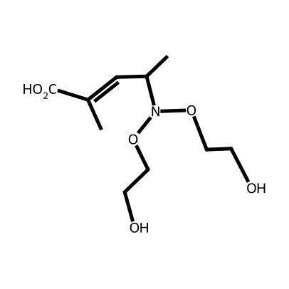 CC(=CC(C)N(OCCO)OCCO)C(=O)O